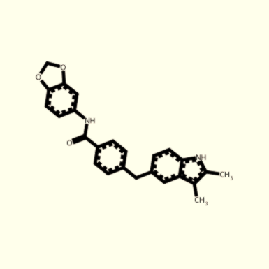 Cc1[nH]c2ccc(Cc3ccc(C(=O)Nc4ccc5c(c4)OCO5)cc3)cc2c1C